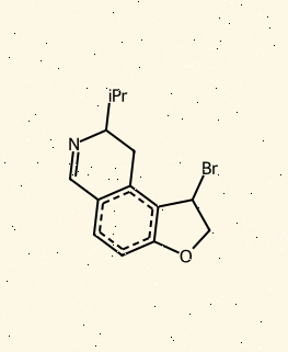 CC(C)C1Cc2c(ccc3c2C(Br)CO3)C=N1